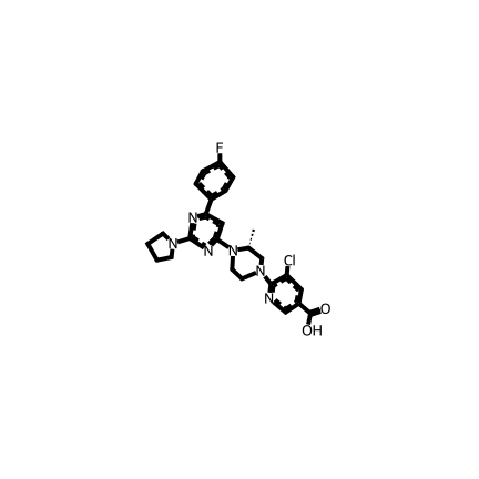 C[C@@H]1CN(c2ncc(C(=O)O)cc2Cl)CCN1c1cc(-c2ccc(F)cc2)nc(N2CCCC2)n1